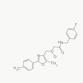 Cc1ccc(-c2nc(C[S+]([O-])CC(=O)NCc3ccc(F)cc3)c(C)o2)cc1